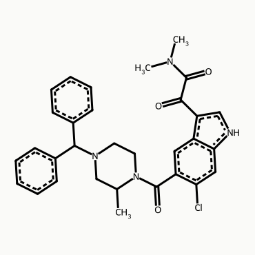 CC1CN(C(c2ccccc2)c2ccccc2)CCN1C(=O)c1cc2c(C(=O)C(=O)N(C)C)c[nH]c2cc1Cl